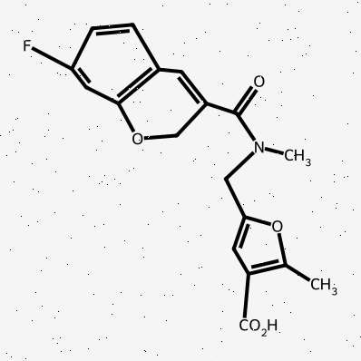 Cc1oc(CN(C)C(=O)C2=Cc3ccc(F)cc3OC2)cc1C(=O)O